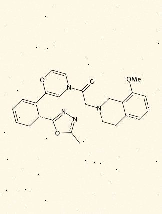 COc1cccc2c1CN(CC(=O)N1C=COC(C3=CC=CCC3c3nnc(C)o3)=C1)CC2